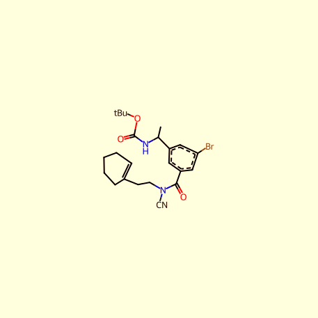 CC(NC(=O)OC(C)(C)C)c1cc(Br)cc(C(=O)N(C#N)CCC2=CCCCC2)c1